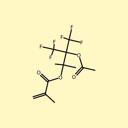 C=C(C)C(=O)OC(C)(C)C(OC(C)=O)(C(F)(F)F)C(F)(F)F